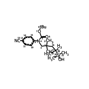 CC(C)(CN(C(=O)OC(C)(C)C)c1ccc(C#N)cc1)CC(C)(C)[Si](C)(C)O